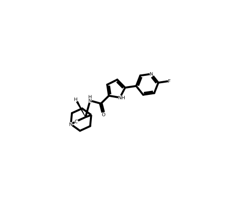 O=C(N[C@H]1CN2CCC1CC2)c1ccc(-c2ccc(F)nc2)[nH]1